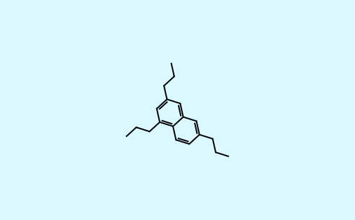 CCCc1ccc2c(CCC)cc(CCC)cc2c1